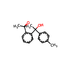 CC(=O)c1ccccc1C(C)(O)c1ccc(C)cc1